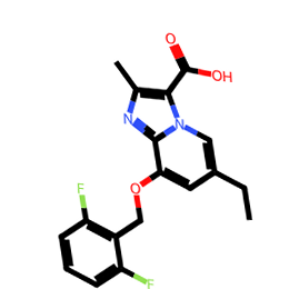 CCc1cc(OCc2c(F)cccc2F)c2nc(C)c(C(=O)O)n2c1